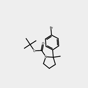 CC(C)(C)OC(=O)N1CCCC1(C)c1ccc(Br)cc1